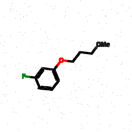 COCCCOc1cc[c]c(F)c1